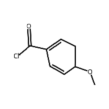 COC1C=CC(C(=O)Cl)=CC1